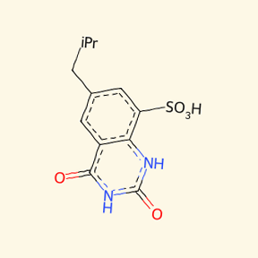 CC(C)Cc1cc(S(=O)(=O)O)c2[nH]c(=O)[nH]c(=O)c2c1